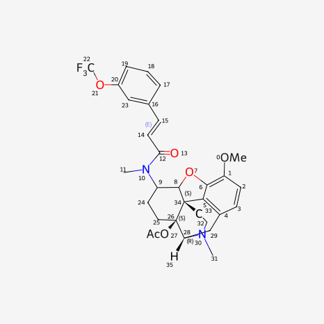 COc1ccc2c3c1OC1C(N(C)C(=O)/C=C/c4cccc(OC(F)(F)F)c4)CC[C@@]4(OC(C)=O)[C@@H](C2)N(C)CC[C@]314